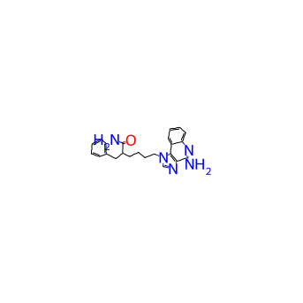 NC(=O)C(CCCCn1cnc2c(N)nc3ccccc3c21)Cc1ccccc1